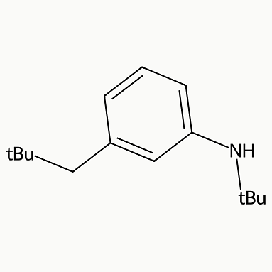 CC(C)(C)Cc1cccc(NC(C)(C)C)c1